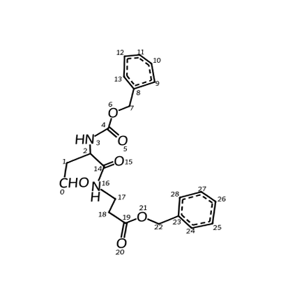 O=CCC(NC(=O)OCc1ccccc1)C(=O)NCCC(=O)OCc1ccccc1